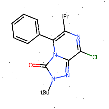 CC(C)c1nc(Cl)c2nn(C(C)(C)C)c(=O)n2c1-c1ccccc1